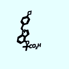 CC(C)(Oc1cccc2c1ccn2Cc1ccc(Cl)cc1)C(=O)O